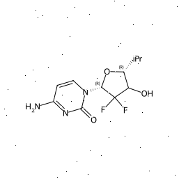 CC(C)[C@H]1O[C@@H](n2ccc(N)nc2=O)C(F)(F)C1O